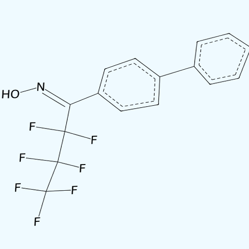 O/N=C(/c1ccc(-c2ccccc2)cc1)C(F)(F)C(F)(F)C(F)(F)F